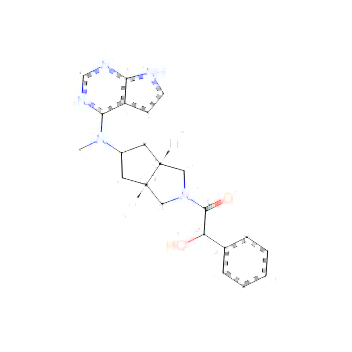 CN(c1ncnc2[nH]ccc12)C1C[C@@H]2CN(C(=O)C(O)c3ccccc3)C[C@@H]2C1